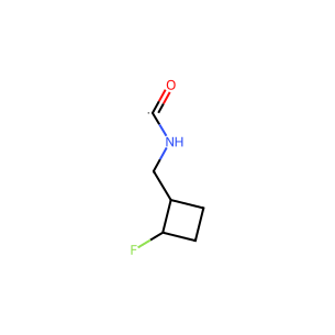 O=[C]NCC1CCC1F